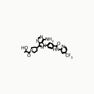 CC(O)C(=O)N1CCC(c2nn(-c3ccc(C(=O)Nc4cc(C(F)(F)F)ccn4)cc3)c3c(N)ncnc23)CC1